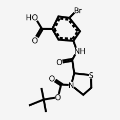 CC(C)(C)OC(=O)N1CCSC1C(=O)Nc1cc(Br)cc(C(=O)O)c1